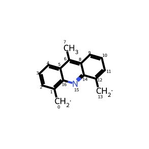 [CH2]c1cccc2c(C)c3cccc([CH2])c3nc12